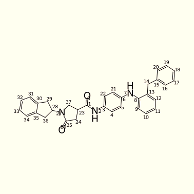 O=C(Nc1ccc(Nc2ccccc2Cc2ccccc2)cc1)C1CC(=O)N(C2Cc3ccccc3C2)C1